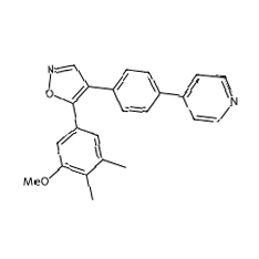 COc1cc(-c2oncc2-c2ccc(-c3ccncc3)cc2)cc(C)c1C